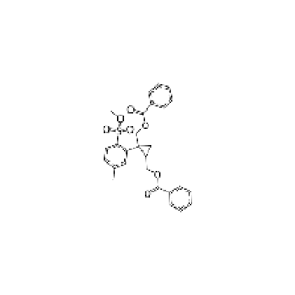 COS(=O)(=O)c1ccc(C)cc1C1(COC(=O)c2ccccc2)CC1COC(=O)c1ccccc1